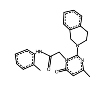 Cc1cc(=O)n(CC(=O)Nc2ccccc2C)c(N2CCc3ccccc3C2)n1